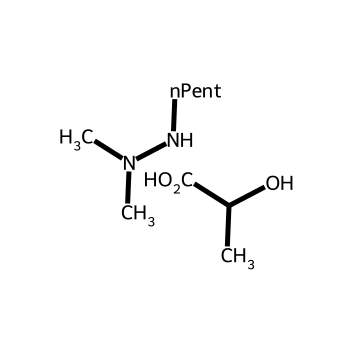 CC(O)C(=O)O.CCCCCNN(C)C